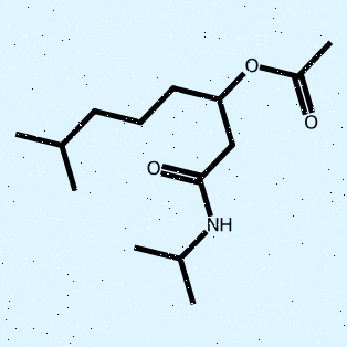 CC(=O)OC(CCCC(C)C)CC(=O)NC(C)C